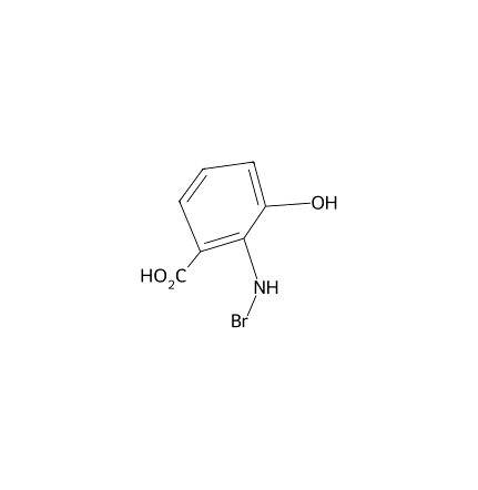 O=C(O)c1cccc(O)c1NBr